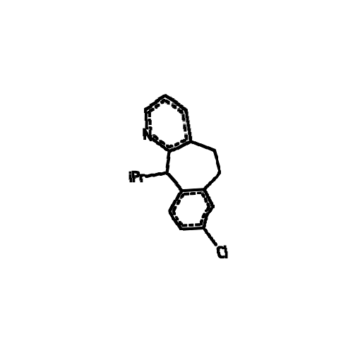 CC(C)C1c2ccc(Cl)cc2CCc2cccnc21